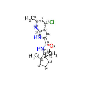 Cc1cc(Cl)c2cc(C(=O)NC3CC4CCC3(C)C4(C)C)[nH]c2n1